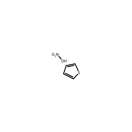 O=[N+]([O-])O.c1ccsc1